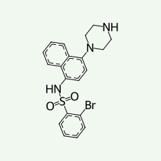 O=S(=O)(Nc1ccc(N2CCNCC2)c2ccccc12)c1ccccc1Br